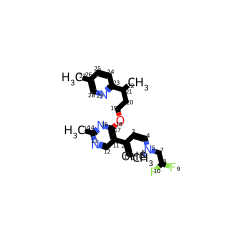 C/C=C(\C=C/N(C=O)CC(F)F)c1cnc(C)nc1OCCC(C)c1ccc(C)cn1